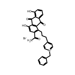 NC(=O)c1cc(O)c2c(c1CCCc1cc[n+](Cc3ccccc3)cc1)C(=O)c1cccc(O)c1C2=O.[Br-]